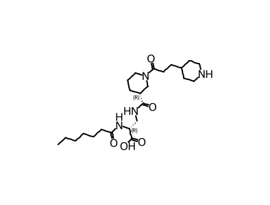 CCCCCCC(=O)N[C@H](CNC(=O)[C@@H]1CCCN(C(=O)CCC2CCNCC2)C1)C(=O)O